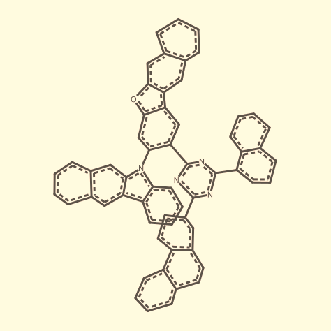 c1ccc2cc3c(cc2c1)oc1cc(-n2c4ccccc4c4cc5ccccc5cc42)c(-c2nc(-c4ccc5c(ccc6ccccc65)c4)nc(-c4cccc5ccccc45)n2)cc13